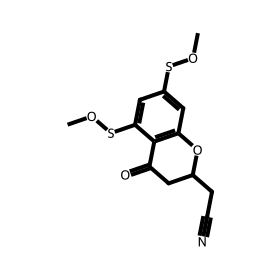 COSc1cc2c(c(SOC)c1)C(=O)CC(CC#N)O2